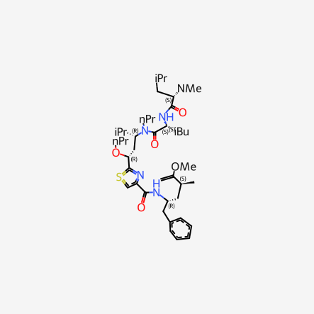 C=C(OC)[C@@H](C)C[C@H](Cc1ccccc1)NC(=O)c1csc([C@@H](C[C@H](C(C)C)N(CCC)C(=O)[C@@H](NC(=O)[C@H](CC(C)C)NC)[C@@H](C)CC)OCCC)n1